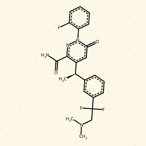 C[C@H](c1cccc(C(F)(F)CN(C)C)c1)c1cc(=O)n(-c2ccccc2F)nc1C(N)=O